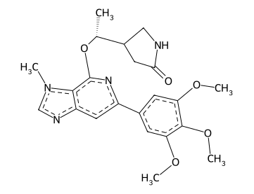 COc1cc(-c2cc3ncn(C)c3c(O[C@H](C)C3CNC(=O)C3)n2)cc(OC)c1OC